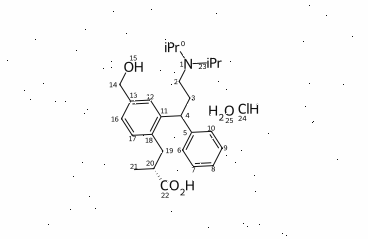 CC(C)N(CCC(c1ccccc1)c1cc(CO)ccc1C[C@@H](C)C(=O)O)C(C)C.Cl.O